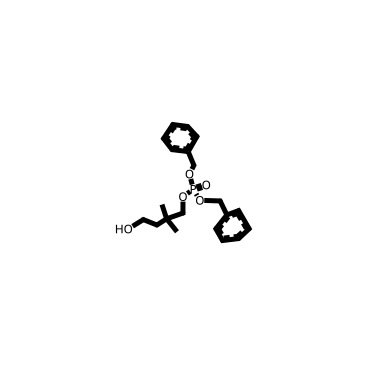 CC(C)(CCO)COP(=O)(OCc1ccccc1)OCc1ccccc1